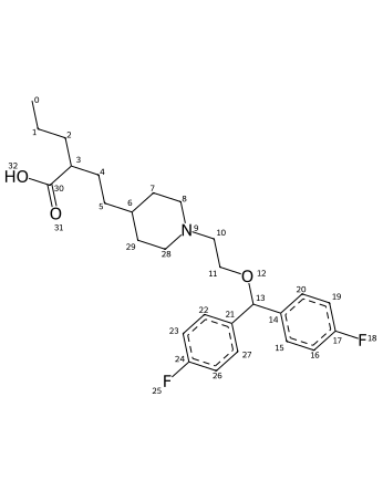 CCCC(CCC1CCN(CCOC(c2ccc(F)cc2)c2ccc(F)cc2)CC1)C(=O)O